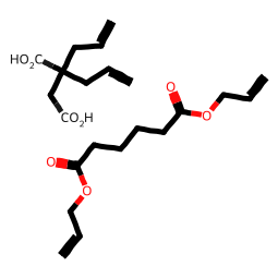 C=CCC(CC=C)(CC(=O)O)C(=O)O.C=CCOC(=O)CCCCC(=O)OCC=C